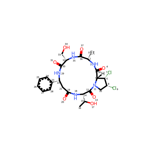 CC[C@@H]1NC(=O)[C@@H]2[C@H](Cl)[C@H](Cl)CN2C(=O)[C@H](C(C)O)NC(=O)C[C@H](c2ccccc2)NC(=O)[C@H](CO)NC1=O